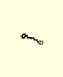 O=C=CCCCC#CCCc1ccccc1